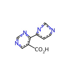 O=C(O)c1cncnc1-c1ccncn1